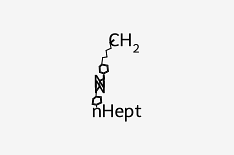 C=CCCCCc1ccc(/C=N/N=C/c2ccc(CCCCCCC)cc2)cc1